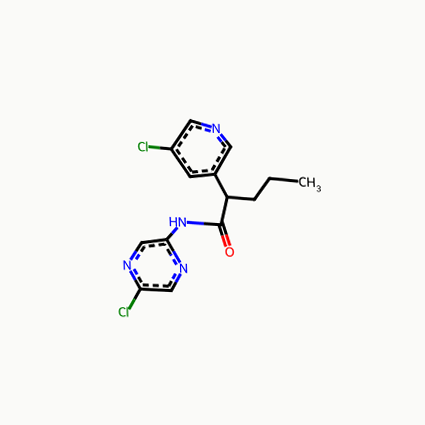 CCCC(C(=O)Nc1cnc(Cl)cn1)c1cncc(Cl)c1